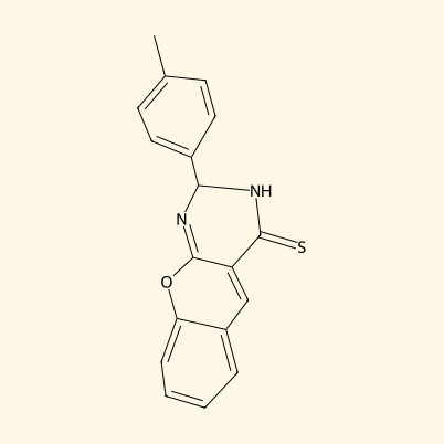 Cc1ccc(C2N=C3Oc4ccccc4C=C3C(=S)N2)cc1